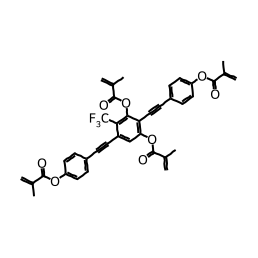 C=C(C)C(=O)Oc1ccc(C#Cc2cc(OC(=O)C(=C)C)c(C#Cc3ccc(OC(=O)C(=C)C)cc3)c(OC(=O)C(=C)C)c2C(F)(F)F)cc1